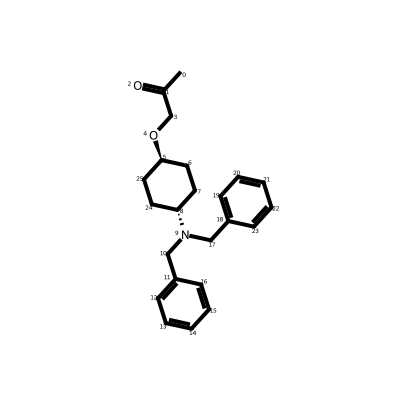 CC(=O)CO[C@H]1CC[C@H](N(Cc2ccccc2)Cc2ccccc2)CC1